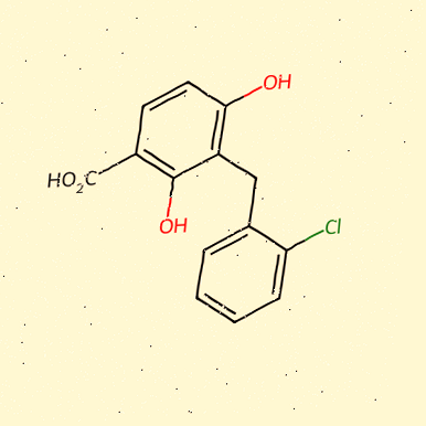 O=C(O)c1ccc(O)c(Cc2ccccc2Cl)c1O